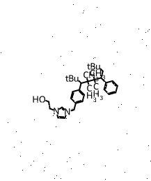 CC(C)(C)CC(c1ccccc1)C(C)(C)C(C)(C)C(c1ccc(C[n+]2ccn(CCO)c2)cc1)C(C)(C)C